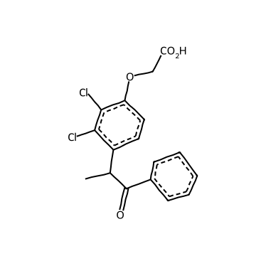 CC(C(=O)c1ccccc1)c1ccc(OCC(=O)O)c(Cl)c1Cl